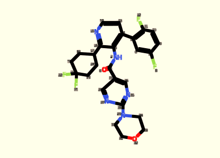 O=C(Nc1c(-c2cc(F)ccc2F)ccnc1C1CCC(F)(F)CC1)c1cnc(N2CCOCC2)nc1